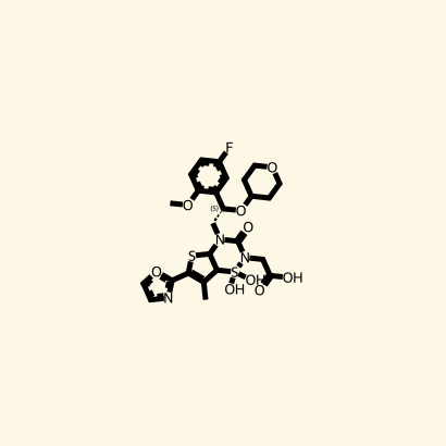 COc1ccc(F)cc1[C@@H](CN1C(=O)N(CC(=O)O)S(O)(O)C2C(C)=C(c3ncco3)SC21)OC1CCOCC1